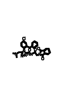 CN(C)Cc1nnc(CNC(=O)CN2C(=O)c3ccccc3C2=O)n1-c1ccc(Cl)cc1C(=O)c1ccccc1